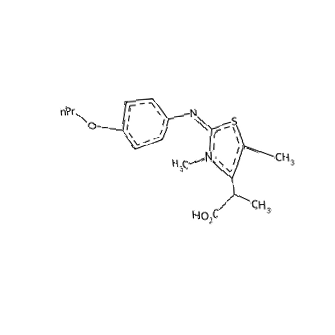 CCCOc1ccc(/N=c2/sc(C)c(C(C)C(=O)O)n2C)cc1